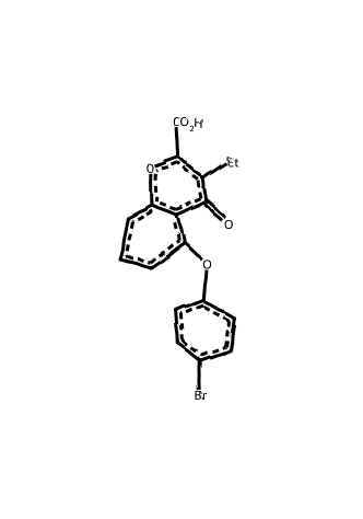 CCc1c(C(=O)O)oc2cccc(Oc3ccc(Br)cc3)c2c1=O